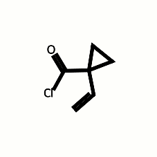 C=CC1(C(=O)Cl)CC1